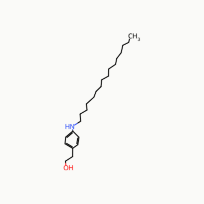 CCCCCCCCCCCCCCCCNc1ccc(CCO)cc1